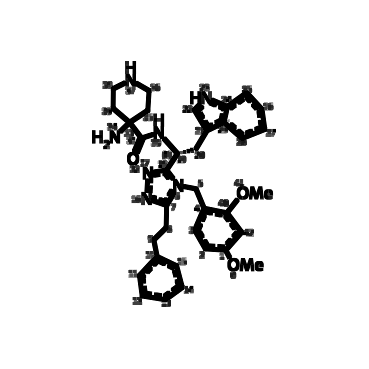 COc1ccc(Cn2c(CCc3ccccc3)nnc2[C@@H](Cc2c[nH]c3ccccc23)NC(=O)C2(N)CCNCC2)c(OC)c1